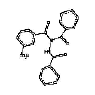 O=C(O)c1cccc(C(=O)N(NC(=O)c2ccccc2)C(=O)c2ccccc2)c1